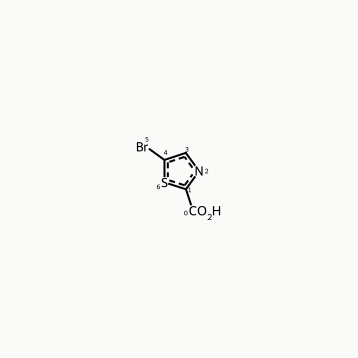 O=C(O)c1ncc(Br)s1